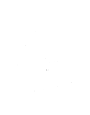 CCS(=O)(=O)c1ccc(Cl)cc1Cn1c(=O)[nH]c2cc(CN3CCC(N4CCOCC4)C3)c(Br)cc2c1=O